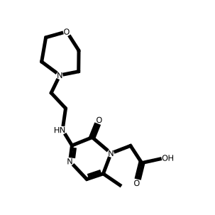 Cc1cnc(NCCN2CCOCC2)c(=O)n1CC(=O)O